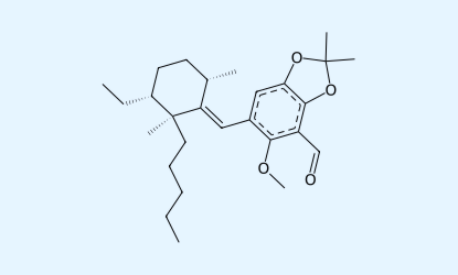 CCCCC[C@]1(C)/C(=C/c2cc3c(c(C=O)c2OC)OC(C)(C)O3)[C@@H](C)CC[C@H]1CC